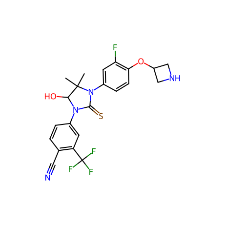 CC1(C)C(O)N(c2ccc(C#N)c(C(F)(F)F)c2)C(=S)N1c1ccc(OC2CNC2)c(F)c1